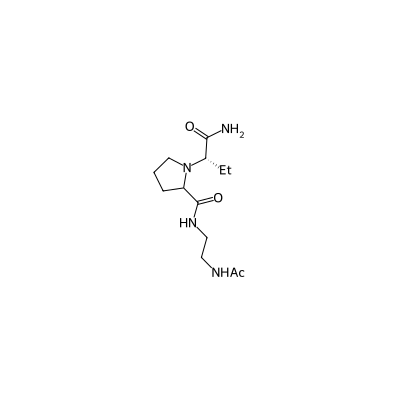 CC[C@@H](C(N)=O)N1CCCC1C(=O)NCCNC(C)=O